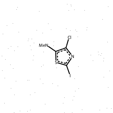 CNc1sc(I)nc1Cl